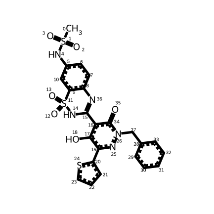 CS(=O)(=O)Nc1ccc2c(c1)S(=O)(=O)NC(c1c(O)c(-c3cccs3)nn(Cc3ccccc3)c1=O)=N2